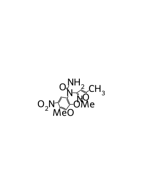 COc1cc(OC)c([N+](=O)[O-])cc1N(C(N)=O)c1cc(C)on1